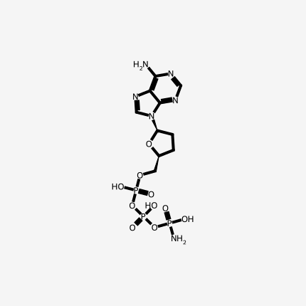 Nc1ncnc2c1ncn2[C@H]1CC[C@@H](COP(=O)(O)OP(=O)(O)OP(N)(=O)O)O1